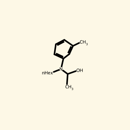 CCCCCCN(c1cccc(C)c1)C(C)O